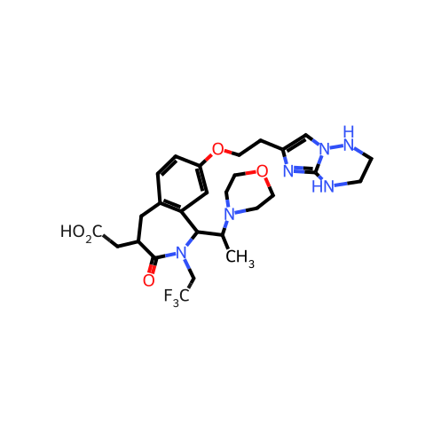 CC(C1c2cc(OCCc3cn4c(n3)NCCN4)ccc2CC(CC(=O)O)C(=O)N1CC(F)(F)F)N1CCOCC1